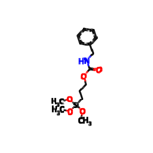 CO[Si](CCCOC(=O)NCc1ccccc1)(OC)OC